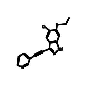 CCSc1cc2[nH]nc(C#Cc3cccnc3)c2cc1Cl